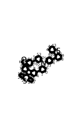 c1cc(-c2ccc3c(c2)-c2ccccc2C32c3ccccc3Sc3ccccc32)cc(N(c2ccc(-c3cccc4sc5ccccc5c34)cc2)c2cccc(-c3ccc4ccoc4c3)c2)c1